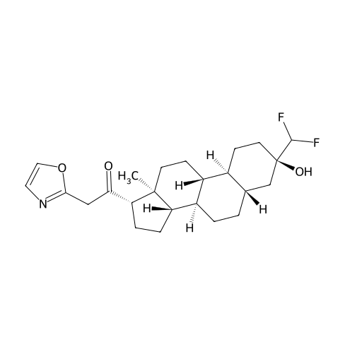 C[C@]12CC[C@H]3[C@@H](CC[C@H]4C[C@@](O)(C(F)F)CC[C@@H]43)[C@@H]1CC[C@@H]2C(=O)Cc1ncco1